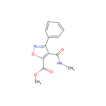 CNC(=O)c1c(-c2ccccc2)noc1C(=O)OC